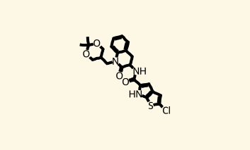 CC1(C)OCC(CN2C(=O)C(NC(=O)c3cc4cc(Cl)sc4[nH]3)Cc3ccccc32)CO1